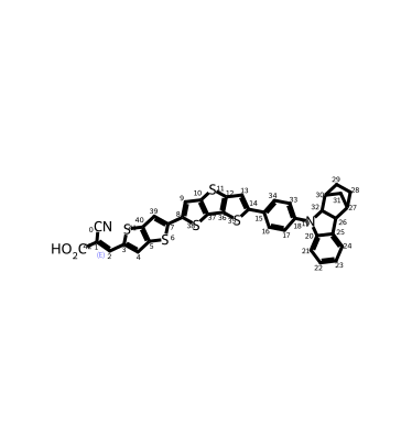 N#C/C(=C\c1cc2sc(-c3cc4sc5cc(-c6ccc(N7c8ccccc8C8C9CCC(C9)C87)cc6)sc5c4s3)cc2s1)C(=O)O